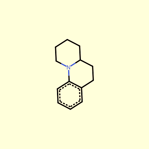 c1ccc2c(c1)CCC1CCCCN21